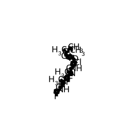 CCC(CCN(C)C)C(=O)N1CCN(C(=O)c2ccc(NC(=O)c3ncc(-c4ccc(-c5cn(CC(=O)Nc6cccc(F)c6)nc5C)c(F)c4F)n3C)cc2Cl)CC1